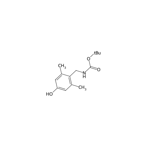 Cc1cc(O)cc(C)c1CNC(=O)OC(C)(C)C